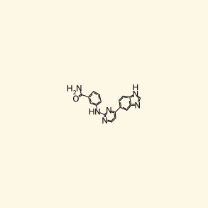 NC(=O)c1cccc(Nc2nccc(-c3ccc4[nH]cnc4c3)n2)c1